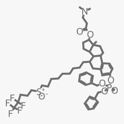 CN(C)CCC(=O)OC1CCC2C3C(CCCCCCCCC[S+]([O-])CCCC(F)(F)C(F)(F)F)Cc4cc(OP(=O)(OCc5ccccc5)OCc5ccccc5)ccc4C3CCC12C